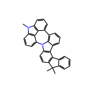 Cn1c2cccc3c4cccc5c6c7c(ccc6n(c6cccc1c6c32)c45)C(C)(C)c1ccccc1-7